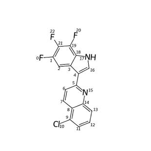 Fc1cc2c(-c3ccc4c(Cl)cccc4n3)c[nH]c2c(F)c1F